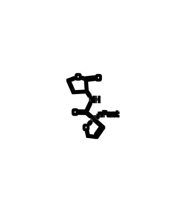 CCCCC[N+]1(C(=O)NC2CCOC2=O)C=CCO1